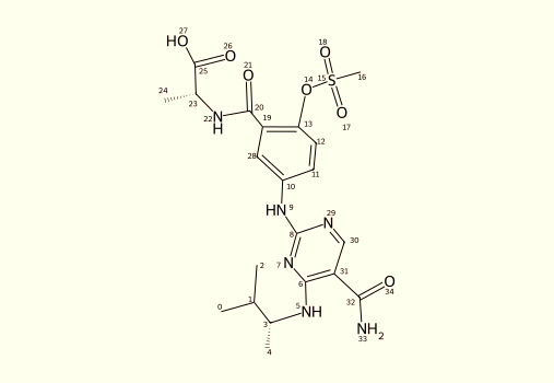 CC(C)[C@@H](C)Nc1nc(Nc2ccc(OS(C)(=O)=O)c(C(=O)N[C@H](C)C(=O)O)c2)ncc1C(N)=O